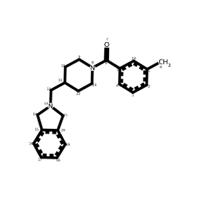 Cc1cccc(C(=O)N2CCC(CN3Cc4ccccc4C3)CC2)c1